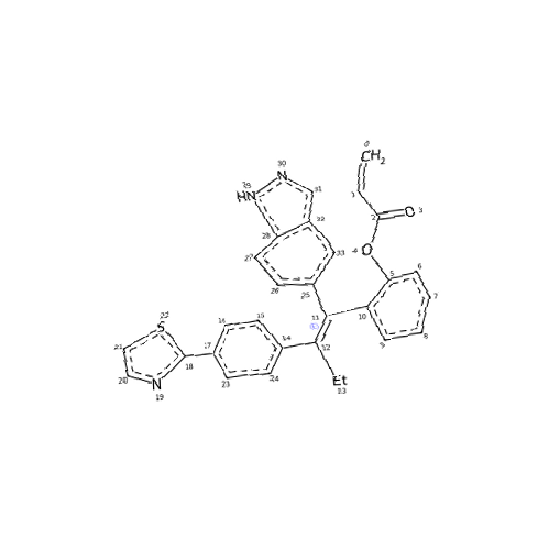 C=CC(=O)Oc1ccccc1/C(=C(\CC)c1ccc(-c2nccs2)cc1)c1ccc2[nH]ncc2c1